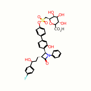 O=C(O)C1O[C@@H](CS(=O)(=O)Oc2ccc(-c3ccc([C@@H]4[C@@H](CC[C@H](O)c5ccc(F)cc5)C(=O)N4c4ccccc4)c(O)c3)cc2)[C@@H](O)C(O)[C@@H]1O